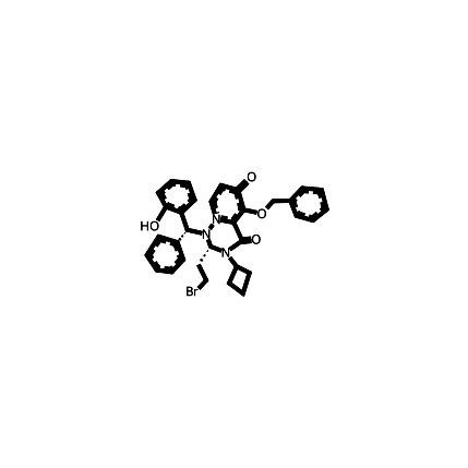 O=C1c2c(OCc3ccccc3)c(=O)ccn2N([C@H](c2ccccc2)c2ccccc2O)[C@@H](CCBr)N1C1CCC1